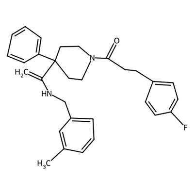 C=C(NCc1cccc(C)c1)C1(c2ccccc2)CCN(C(=O)CCc2ccc(F)cc2)CC1